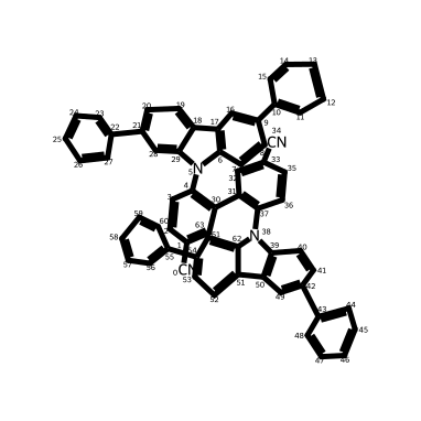 N#Cc1ccc(-n2c3ccc(-c4ccccc4)cc3c3ccc(-c4ccccc4)cc32)c(-c2cc(C#N)ccc2-n2c3ccc(-c4ccccc4)cc3c3ccc(-c4ccccc4)cc32)c1